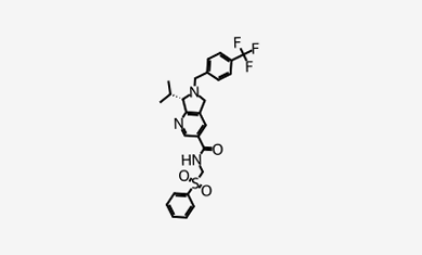 CC(C)[C@H]1c2ncc(C(=O)NCS(=O)(=O)c3ccccc3)cc2CN1Cc1ccc(C(F)(F)F)cc1